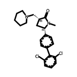 CN1C(=O)[C@@H](CN2CCCCC2)C[C@H]1c1ccc(-c2c(Cl)cccc2Cl)cc1